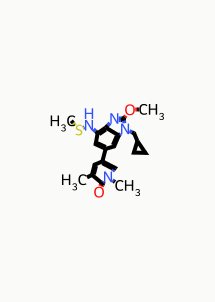 COc1nc2c(NSC)cc(-c3cc(C)c(=O)n(C)c3)cc2n1CC1CC1